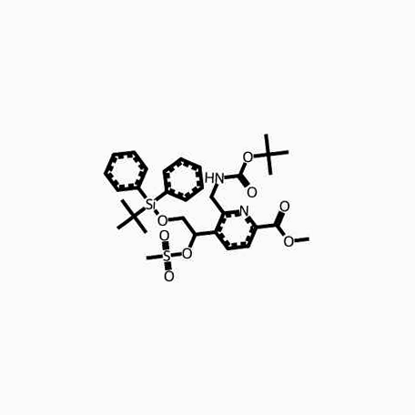 COC(=O)c1ccc(C(CO[Si](c2ccccc2)(c2ccccc2)C(C)(C)C)OS(C)(=O)=O)c(CNC(=O)OC(C)(C)C)n1